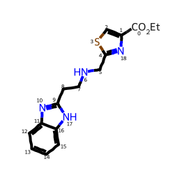 CCOC(=O)c1csc(CNCCc2nc3ccccc3[nH]2)n1